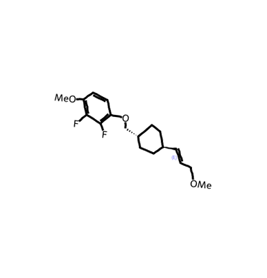 COC/C=C/[C@H]1CC[C@H](COc2ccc(OC)c(F)c2F)CC1